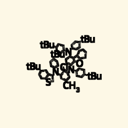 Cc1cc(N(c2ccc(C(C)(C)C)cc2)c2csc3ccc(C(C)(C)C)cc23)c(Cl)c(N(c2ccc(C(C)(C)C)cc2)c2ccc(N(c3ccc(C(C)(C)C)cc3)c3ccc(C(C)(C)C)cc3)c3c2oc2ccccc23)c1